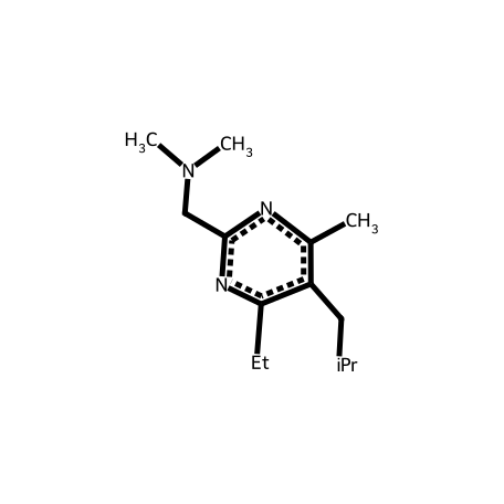 CCc1nc(CN(C)C)nc(C)c1CC(C)C